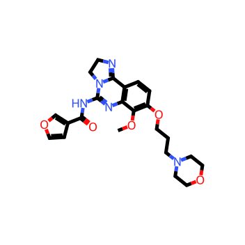 COc1c(OCCCN2CCOCC2)ccc2c1N=C(NC(=O)c1ccoc1)N1CCN=C21